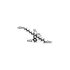 CCCCCCCCCCCCCCCCCC(C)N(Cc1ccccc1)C(C)CCCCCCCCCCCCCCCCC.Cl